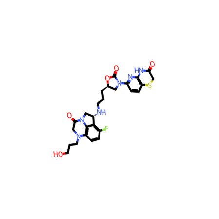 O=C1CSc2ccc(N3C[C@@H](CCCN[C@H]4CN5C(=O)CN(CCCO)c6ccc(F)c4c65)OC3=O)nc2N1